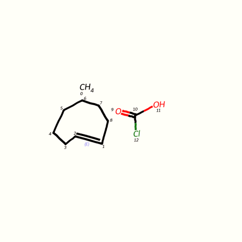 C.C1=C/CCCCCC/1.O=C(O)Cl